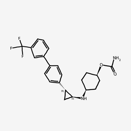 NC(=O)O[C@H]1CC[C@@H](N[C@H]2C[C@@H]2c2ccc(-c3cccc(C(F)(F)F)c3)cc2)CC1